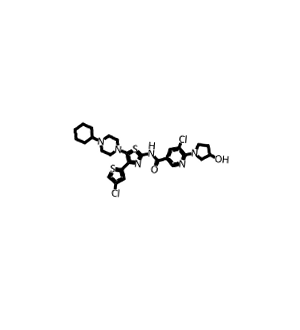 O=C(Nc1nc(-c2cc(Cl)cs2)c(N2CCN(C3CCCCC3)CC2)s1)c1cnc(N2CCC(O)C2)c(Cl)c1